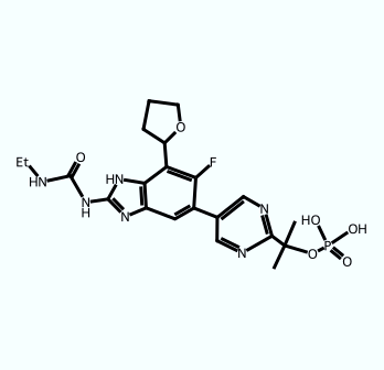 CCNC(=O)Nc1nc2cc(-c3cnc(C(C)(C)OP(=O)(O)O)nc3)c(F)c(C3CCCO3)c2[nH]1